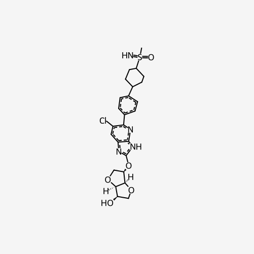 CS(=N)(=O)C1CCC(c2ccc(-c3nc4[nH]c(O[C@@H]5CO[C@H]6[C@@H]5OC[C@H]6O)nc4cc3Cl)cc2)CC1